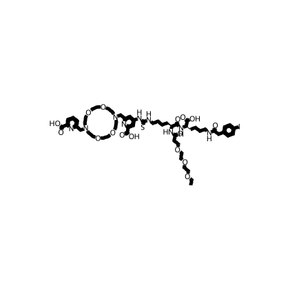 CCOCCOCCOCCC(=O)N[C@@H](CCCCNC(=S)Nc1cc(CN2CCOCCOCCN(Cc3cccc(C(=O)O)n3)CCOCCOCC2)nc(C(=O)O)c1)C(=O)N[C@@H](CCCCNC(=O)Cc1ccc(I)cc1)C(=O)O